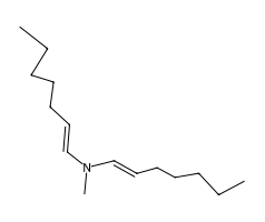 CCCCCC=CN(C)C=CCCCCC